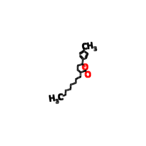 CCCCCCCCC1CCC(c2ccc(C)cc2)OC1=O